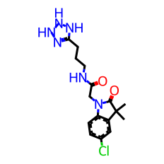 CC1(C)C(=O)N(CC(=O)NCCCC2=NNNN2)c2ccc(Cl)cc21